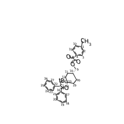 Cc1ccc(S(=O)(=O)OC[C@H]2CC[C@@H](O[Si](c3ccccc3)(c3ccccc3)C(C)(C)C)CC2)cc1